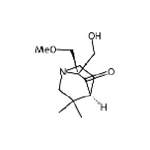 COC[C@@]1(CO)C(=O)[C@H]2CCN1CC2(C)C